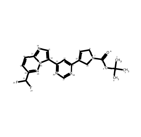 CC(C)(C)OC(=O)N1CC=C(c2cc(-c3cnc4ccc(C(F)F)nn34)ncn2)C1